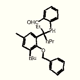 CCCC(CC)(Pc1ccccc1C=O)c1cc(C)cc(C(C)(C)C)c1OCc1ccccc1